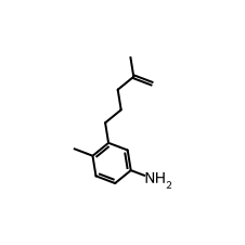 C=C(C)CCCc1cc(N)ccc1C